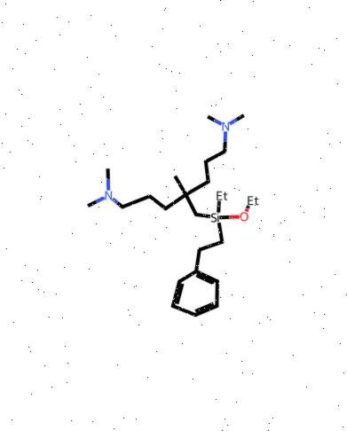 CCO[Si](CC)(CCc1ccccc1)CC(C)(CCCN(C)C)CCCN(C)C